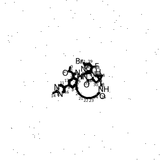 CC(=O)c1nn2c3c(cc(-c4cnc(C)nc4)cc13)CCCCCCC(=O)NC[C@@]13C[C@@H](C(=O)Nc4cc(F)cc(Br)n4)N(C(=O)C2)[C@@H]1C3